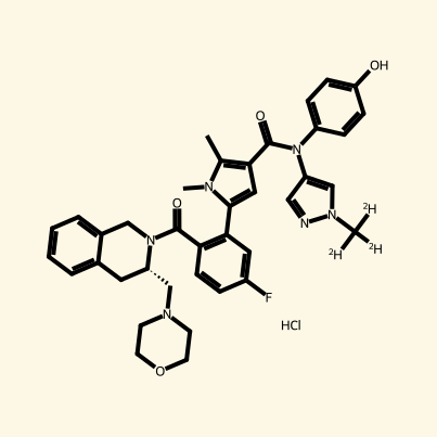 Cl.[2H]C([2H])([2H])n1cc(N(C(=O)c2cc(-c3cc(F)ccc3C(=O)N3Cc4ccccc4C[C@H]3CN3CCOCC3)n(C)c2C)c2ccc(O)cc2)cn1